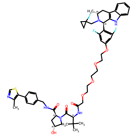 Cc1ncsc1-c1ccc(CNC(=O)[C@@H]2C[C@@H](O)CN2C(=O)[C@@H](NC(=O)COCCOCCOCCOc2cc(F)c([C@@H]3c4[nH]c5ccccc5c4C[C@@H](C)N3CC3(F)CC3)c(F)c2)C(C)(C)C)cc1